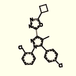 Cc1c(-c2nnc(C3CCC3)o2)nn(-c2ccccc2Cl)c1-c1ccc(Cl)cc1